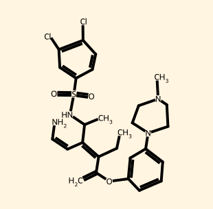 C=C(Oc1cccc(N2CCN(C)CC2)c1)/C(CC)=C(\C=C/N)C(C)NS(=O)(=O)c1ccc(Cl)c(Cl)c1